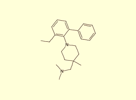 CCc1cccc(-c2ccccc2)c1N1CCC(C)(CN(C)C)CC1